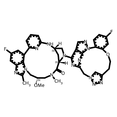 CO[C@H]1CN(C)C(=O)[C@@H]2C[C@@H](CN2c2nc3nc4c2cnn4-c2ccc(F)cc2OCCc2cn(nn2)C3)Nc2cccc(n2)-c2cc(F)cc3nc(C)n(c23)C1